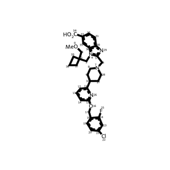 COCC1(Cn2c(CN3CCC(c4cccc(OCc5ccc(Cl)cc5F)n4)CC3)nc3ccc(C(=O)O)cc32)CCC1